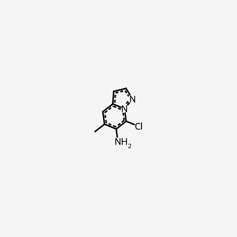 Cc1cc2ccnn2c(Cl)c1N